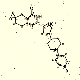 Cl.O=c1[nH]c([C@@H]2CC[C@@H](N3CCN(c4ccc(F)cc4)CC3)C2)nc2c1CC1(CC2)CC1